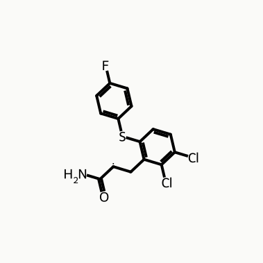 NC(=O)[CH]Cc1c(Sc2ccc(F)cc2)ccc(Cl)c1Cl